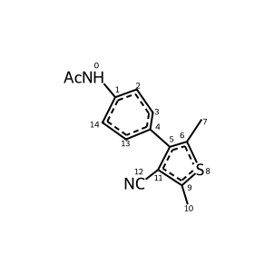 CC(=O)Nc1ccc(-c2c(C)sc(C)c2C#N)cc1